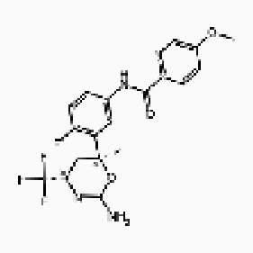 COc1ccc(C(=O)Nc2ccc(F)c([C@]3(C)C[C@@H](C(F)(F)F)N=C(N)O3)c2)nc1